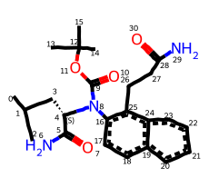 CC(C)C[C@@H](C(N)=O)N(C(=O)OC(C)(C)C)c1ccc2ccccc2c1CCC(N)=O